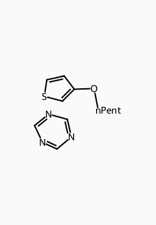 CCCCCOc1ccsc1.c1ncncn1